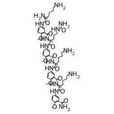 COc1ccc(NC(=O)[C@H](CCCCN)NC(=O)c2cc(NC(=O)[C@H](CCCCN)NC(=O)c3cc(NC(=O)[C@H](CCCNC(N)=O)NC(=O)c4cc(NC(=O)[C@@H](N)CCCCN)ccc4OC)ccc3OC)ccc2OC)cc1C(N)=O